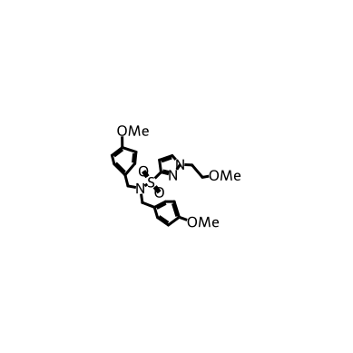 COCCn1ccc(S(=O)(=O)N(Cc2ccc(OC)cc2)Cc2ccc(OC)cc2)n1